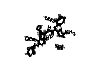 Nc1nc(C(Sc2ccccc2C(=O)[O-])C(=O)NC2C(=O)N3C(C(=O)[O-])=C(CSc4nncs4)CS[C@@H]23)cs1.[Na+].[Na+]